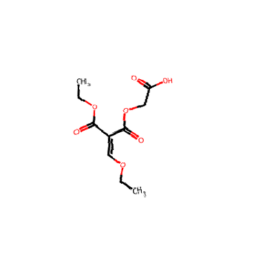 CCOC=C(C(=O)OCC)C(=O)OCC(=O)O